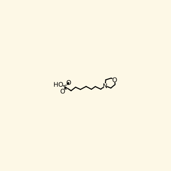 O=S(=O)(O)CCCCCCCN1CCOCC1